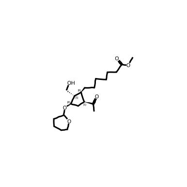 COC(=O)CCCCCC[C@@H]1[C@@H](CO)[C@H](OC2CCCCO2)C[C@@H]1C(C)=O